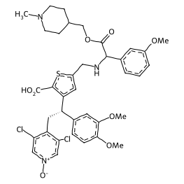 COc1cccc(C(NCc2cc([C@@H](Cc3c(Cl)c[n+]([O-])cc3Cl)c3ccc(OC)c(OC)c3)c(C(=O)O)s2)C(=O)OCC2CCN(C)CC2)c1